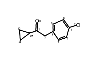 O=C(Cc1ccc(Cl)cc1)C1CC1